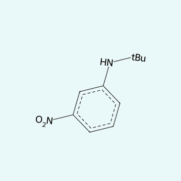 CC(C)(C)Nc1cccc([N+](=O)[O-])c1